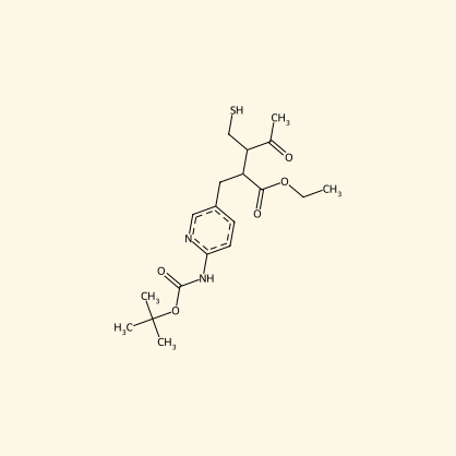 CCOC(=O)C(Cc1ccc(NC(=O)OC(C)(C)C)nc1)C(CS)C(C)=O